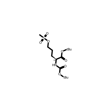 CC(C)(C)OC(=O)N[C@@H](CCCOS(C)(=O)=O)C(=O)OC(C)(C)C